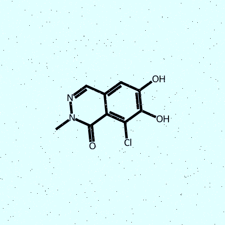 Cn1ncc2cc(O)c(O)c(Cl)c2c1=O